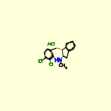 CN[C@H]1Cc2ccccc2[C@H]1Cc1ccc(Cl)c(Cl)c1.Cl